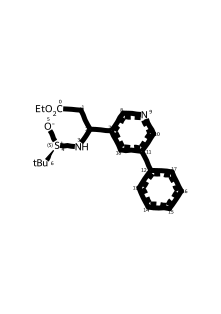 CCOC(=O)CC(N[S@+]([O-])C(C)(C)C)c1cncc(-c2ccccc2)c1